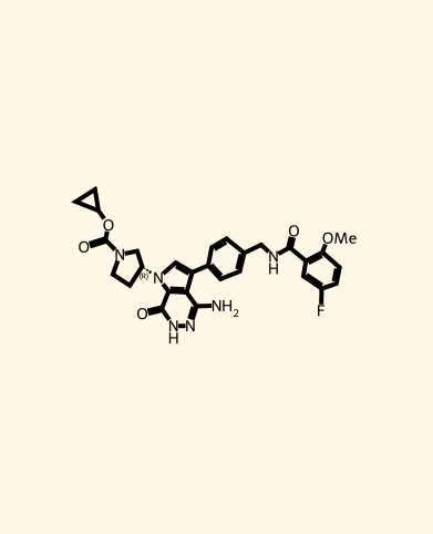 COc1ccc(F)cc1C(=O)NCc1ccc(-c2cn([C@@H]3CCN(C(=O)OC4CC4)C3)c3c(=O)[nH]nc(N)c23)cc1